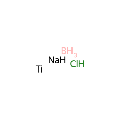 B.Cl.[NaH].[Ti]